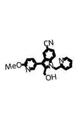 COc1ccc(-c2c(CO)n(Cc3ccccn3)c3ccc(C#N)cc23)cn1